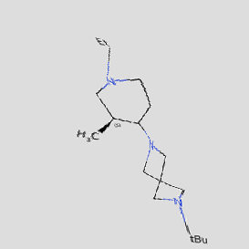 CCN1CCC(N2CC3(C2)CN(C(C)(C)C)C3)[C@@H](C)C1